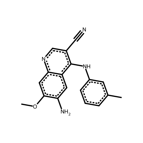 COc1cc2ncc(C#N)c(Nc3cccc(C)c3)c2cc1N